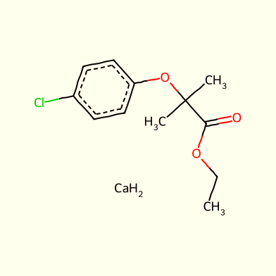 CCOC(=O)C(C)(C)Oc1ccc(Cl)cc1.[CaH2]